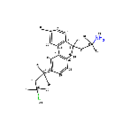 Cc1ccc(C(C)(C)CC(C)(C)N)c(-c2cc(C(C)(C)CC(C)(C)Cl)ccc2C)c1